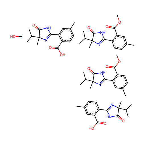 CO.COC(=O)c1cc(C)ccc1C1=NC(C)(C(C)C)C(=O)N1.COC(=O)c1ccc(C)cc1C1=NC(C)(C(C)C)C(=O)N1.Cc1ccc(C(=O)O)c(C2=NC(C)(C(C)C)C(=O)N2)c1.Cc1ccc(C2=NC(C)(C(C)C)C(=O)N2)c(C(=O)O)c1